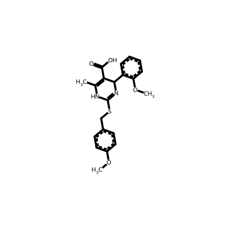 COc1ccc(CSC2=NC(c3ccccc3OC)C(C(=O)O)=C(C)N2)cc1